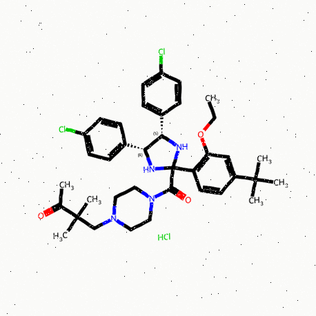 CCOc1cc(C(C)(C)C)ccc1C1(C(=O)N2CCN(CC(C)(C)C(C)=O)CC2)N[C@H](c2ccc(Cl)cc2)[C@H](c2ccc(Cl)cc2)N1.Cl